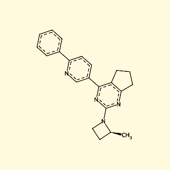 C[C@H]1CCN1c1nc2c(c(-c3ccc(-c4ccccc4)nc3)n1)CCC2